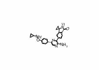 Nc1ncc(-c2ccc(ONC3CC3)cc2)nc1-c1ccc2c(c1)C1(CC1)NC2=O